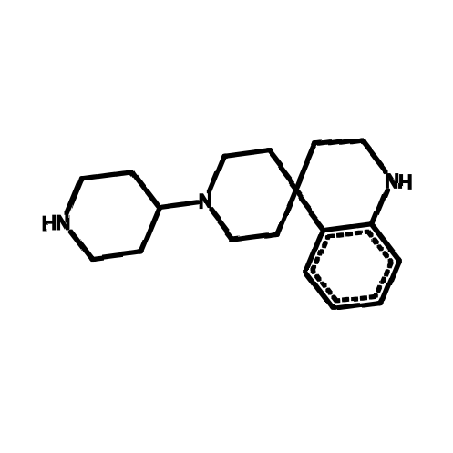 c1ccc2c(c1)NCCC21CCN(C2CCNCC2)CC1